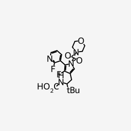 CC(C)(C)C(Cc1cn(S(=O)(=O)N2CCOCC2)c(-c2cccnc2F)c1F)NC(=O)O